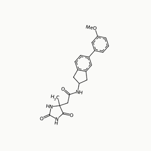 COc1cccc(-c2ccc3c(c2)CC(NC(=O)CC2(C)NC(=O)NC2=O)C3)c1